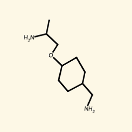 CC(N)COC1CCC(CN)CC1